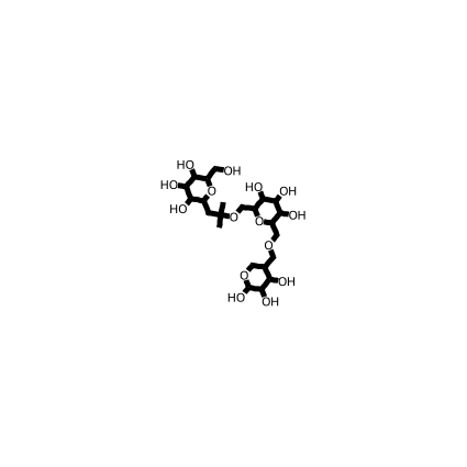 CC(C)(CC1OC(CO)C(O)C(O)C1O)OCC1OC(COCC2COC(O)C(O)C2O)C(O)C(O)C1O